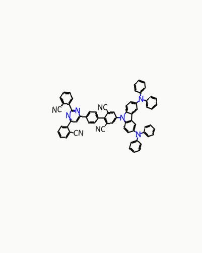 N#Cc1ccccc1-c1cc(-c2ccc(-c3c(C#N)cc(-n4c5ccc(N(c6ccccc6)c6ccccc6)cc5c5cc(N(c6ccccc6)c6ccccc6)ccc54)cc3C#N)cc2)nc(-c2ccccc2C#N)n1